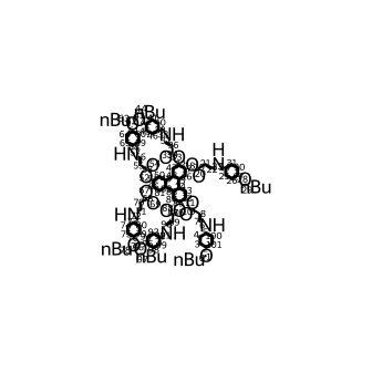 CCCCOc1ccc(N/C=C/C(=O)Oc2cc3c4cc(OC(=O)/C=C/Nc5ccc(OCCCC)cc5)c(OC(=O)/C=C/Nc5ccc(OCCCC)cc5)cc4c4cc(OC(=O)/C=C/Nc5ccc(OCCCC)cc5)c(OC(=O)/C=C/Nc5ccc(OCCCC)cc5)cc4c3cc2OC(=O)/C=C/Nc2ccc(OCCCC)cc2)cc1